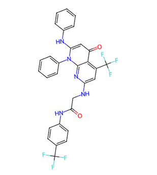 O=C(CNc1cc(C(F)(F)F)c2c(=O)cc(Nc3ccccc3)n(-c3ccccc3)c2n1)Nc1ccc(C(F)(F)F)cc1